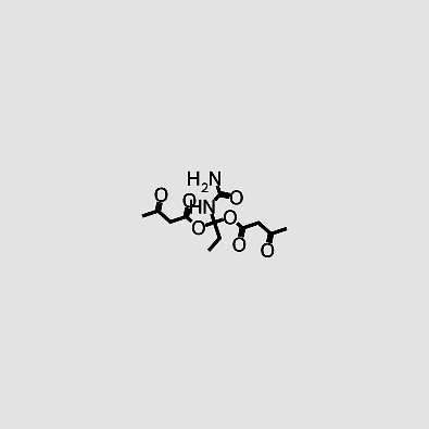 CCC(NC(N)=O)(OC(=O)CC(C)=O)OC(=O)CC(C)=O